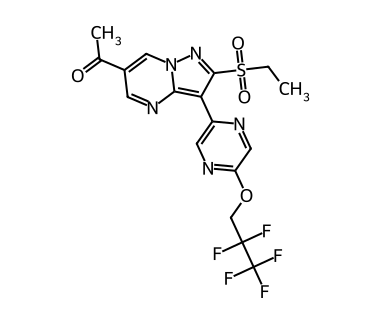 CCS(=O)(=O)c1nn2cc(C(C)=O)cnc2c1-c1cnc(OCC(F)(F)C(F)(F)F)cn1